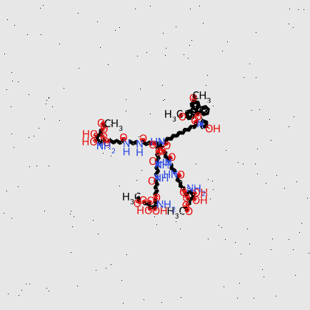 COc1ccc(C(OC[C@@H]2C[C@@H](O)CN2C(=O)CCCCCCCCCCC(=O)NC(COCCC(=O)NCCCNC(=O)CCCCOC2OC(COC(C)=O)C(O)C(O)C2N)(COCCC(=O)NCCCNC(=O)CCCCOC2OC(COC(C)=O)C(O)C(O)C2N)COCCC(=O)NCCCNC(=O)CCCCOC2OC(COC(C)=O)C(O)C(O)C2N)(c2ccccc2)c2ccc(OC)cc2)cc1